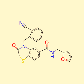 N#Cc1ccccc1CN1C(=O)CSc2ccc(C(=O)NCc3ccco3)cc21